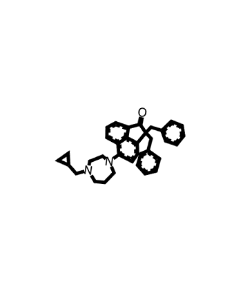 O=C1c2cccc3c(N4CCCN(CC5CC5)CC4)ccc(c23)C1(Cc1ccccc1)Cc1ccccc1